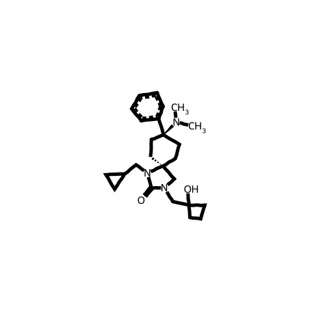 CN(C)[C@]1(c2ccccc2)CC[C@]2(CC1)CN(CC1(O)CCC1)C(=O)N2CC1CC1